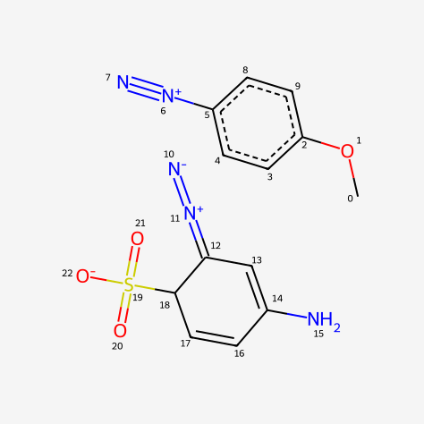 COc1ccc([N+]#N)cc1.[N-]=[N+]=C1C=C(N)C=CC1S(=O)(=O)[O-]